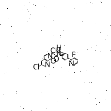 C=C(C(=O)Nc1ccc(-c2ncccc2F)cc1)n1ccc2cc(Cl)cnc2c1=O